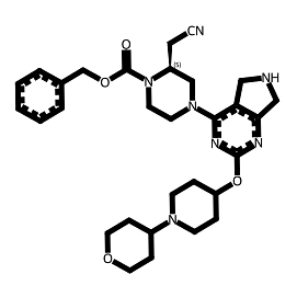 N#CC[C@H]1CN(c2nc(OC3CCN(C4CCOCC4)CC3)nc3c2CNC3)CCN1C(=O)OCc1ccccc1